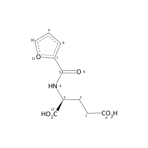 O=C(O)CC[C@H](NC(=O)c1ccco1)C(=O)O